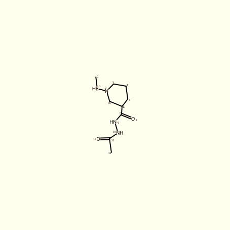 CBN1CCCC(C(=O)NNC(C)=O)C1